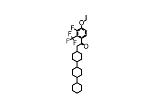 CCOc1ccc(C(=O)CC2CCC(C3CCC(C4CCCCC4)CC3)CC2)c(C(F)(F)F)c1F